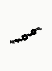 CCCCc1ccc(CC[C@H]2CC[C@H](CCC=CC#N)CC2)cc1